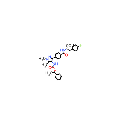 Cc1c(NC(=O)OC(C)c2ccccc2)c(-c2ccc(C(=O)NC(Cc3ccc(F)cc3)C(=O)O)cc2)nn1C